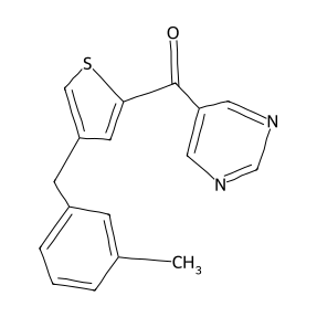 Cc1cccc(Cc2csc(C(=O)c3cncnc3)c2)c1